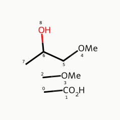 CC(=O)O.COC.COCC(C)O